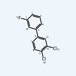 Fc1cccc(-c2ccc(Cl)c(Cl)c2)c1